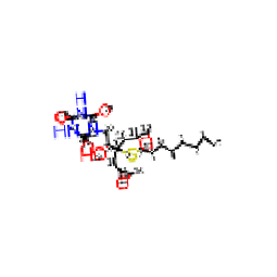 CCCCCCCCSC(CC1CO1)(CC1CO1)C(O)Cn1c(=O)[nH]c(=O)[nH]c1=O